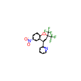 O=[N+]([O-])c1ccc2c(c1)C(c1ccccn1)=CC(C(F)(F)F)(C(F)(F)F)O2